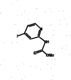 COC(=O)Nc1cc(I)ccn1